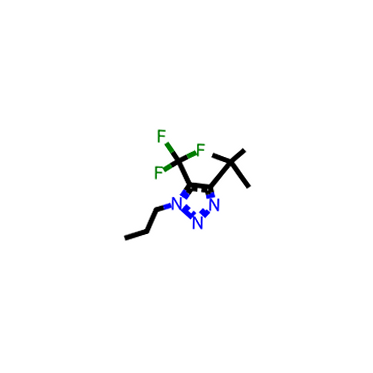 CCCn1nnc(C(C)(C)C)c1C(F)(F)F